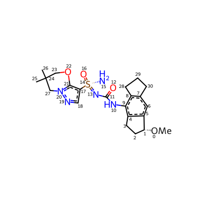 CO[C@@H]1CCc2c1cc1c(c2NC(=O)N=[S@](N)(=O)c2cnn3c2OCC(C)(C)C3)CCC1